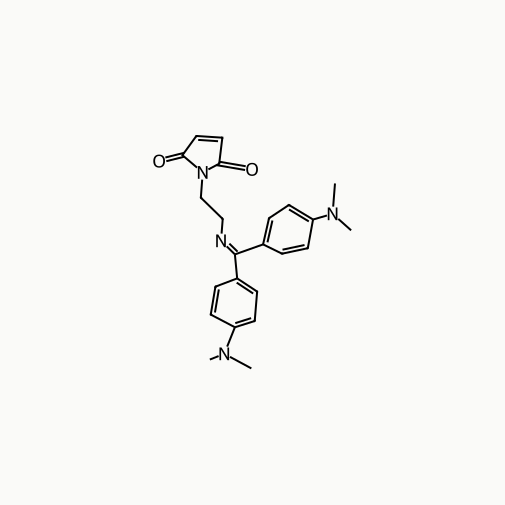 CN(C)c1ccc(C(=NCCN2C(=O)C=CC2=O)c2ccc(N(C)C)cc2)cc1